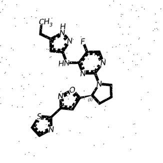 CCc1cc(Nc2nc(N3CCC[C@H]3c3cc(-c4nccs4)no3)ncc2F)n[nH]1